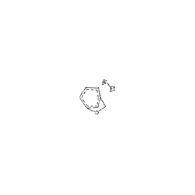 CCBr.c1cc2cc(c1)OC2